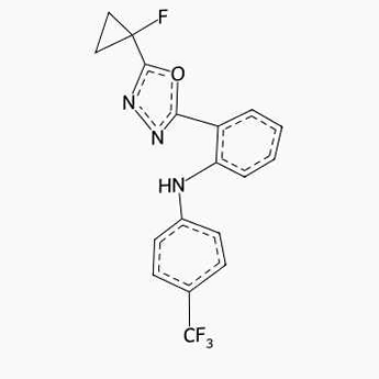 FC(F)(F)c1ccc(Nc2ccccc2-c2nnc(C3(F)CC3)o2)cc1